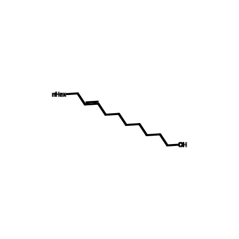 CCCCCCCC=CCCCCCCCO